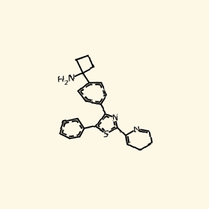 NC1(c2ccc(-c3nc(C4=CCCC=N4)sc3-c3ccccc3)cc2)CCC1